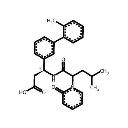 Cc1ccccc1-c1cccc([C@H](CC(=O)O)NC(=O)C(CC(C)C)n2ccccc2=O)c1